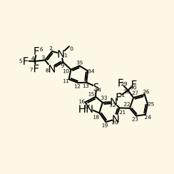 Cn1cc(C(F)(F)F)nc1-c1ccc(Sc2c[nH]c3cnc(-c4ccccc4C(F)(F)F)nc23)cc1